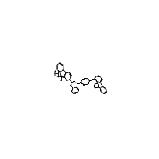 CC1(C)C2=C(C=C[C@@H](/C(=C/CC3=CC=C(c4cccc5c4oc4ccccc45)CC3)Cc3ccccc3)C2)C2C=CC=C[C@@H]21